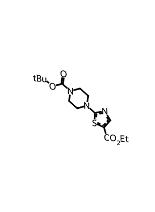 CCOC(=O)c1cnc(N2CCN(C(=O)OC(C)(C)C)CC2)s1